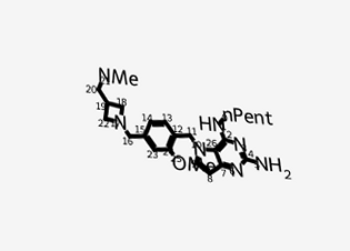 CCCCCNc1nc(N)nc2ccn(Cc3ccc(CN4CC(CNC)C4)cc3OC)c12